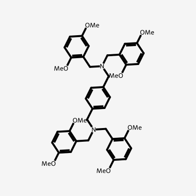 COc1ccc(OC)c(CN(Cc2ccc(CN(Cc3cc(OC)ccc3OC)Cc3cc(OC)ccc3OC)cc2)Cc2cc(OC)ccc2OC)c1